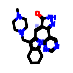 CN1CCN(Cc2c(/C=C3/C(=O)NN=C3c3cncnc3)[nH]c3c2CCCC3)CC1